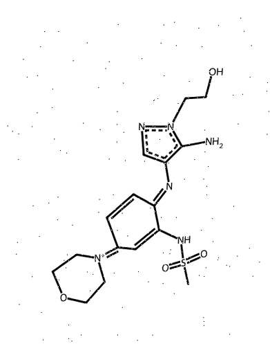 CS(=O)(=O)NC1=CC(=[N+]2CCOCC2)C=CC1=Nc1cnn(CCO)c1N